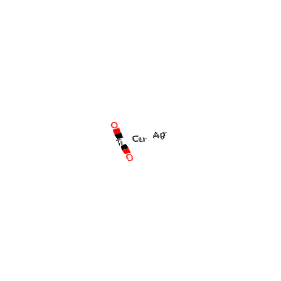 [Ag].[Cu].[O]=[Ti]=[O]